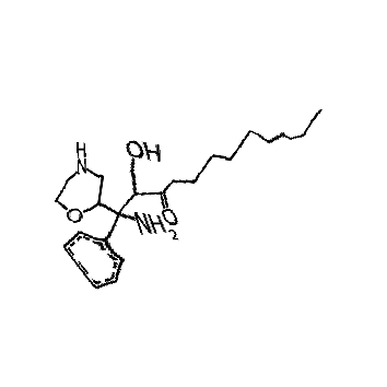 CCCCCCCCCC(=O)C(CO)C(N)(c1ccccc1)C1CNCCO1